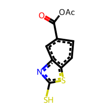 CC(=O)OC(=O)c1ccc2sc(S)nc2c1